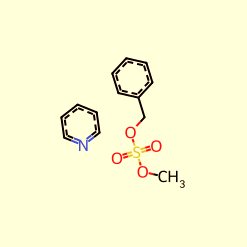 COS(=O)(=O)OCc1ccccc1.c1ccncc1